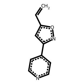 C=Cc1cc(-c2ccncc2)no1